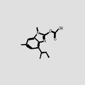 CCC(C)c1cc(C)cc2c1nc(OC(=O)O)n2C